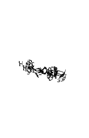 CC(C)CC(C)(COc1ccc(B2OC(C)(C)C(C)(C)O2)cc1F)OC(N)=O